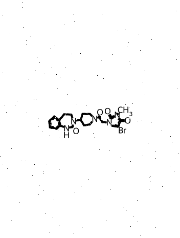 Cn1c(=O)c(Br)cn(CC(=O)N2CCC(N3CCc4ccccc4NC3=O)CC2)c1=O